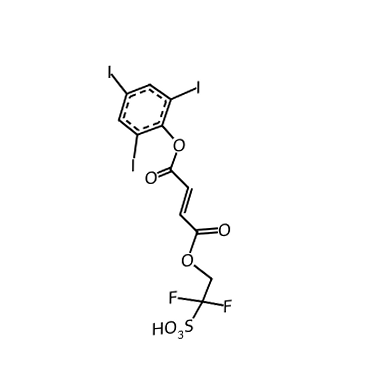 O=C(/C=C/C(=O)Oc1c(I)cc(I)cc1I)OCC(F)(F)S(=O)(=O)O